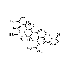 C=C(N)C1=C(O)[C@@H](N(C)C)[C@@H]2C[C@@H]3Cc4c(N(C)C)cc(-c5cccc(O)c5)c(C)c4C(=C)C3=C(C)[C@]2(O)C1=C